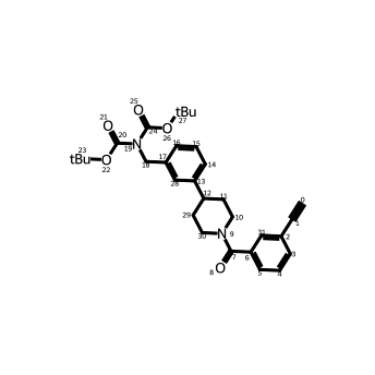 C#Cc1cccc(C(=O)N2CCC(c3cccc(CN(C(=O)OC(C)(C)C)C(=O)OC(C)(C)C)c3)CC2)c1